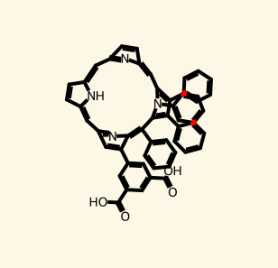 O=C(O)c1cc(C(=O)O)cc(C2=Cc3cc4ccc(cc5nc(cc6c(-c7ccccc7)c(-c7ccccc7)c(c(-c7ccccc7)c2n3)n6-c2ccccc2)C=C5)[nH]4)c1